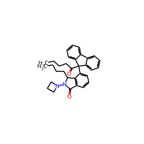 CCCCC(=O)C1(c2cccc3c2C(CCCC)N(N2CCC2)C3=O)c2ccccc2-c2ccccc21